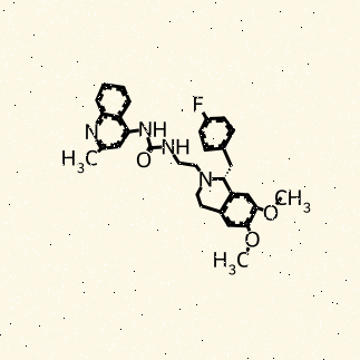 COc1cc2c(cc1OC)[C@@H](Cc1ccc(F)cc1)N(CCNC(=O)Nc1cc(C)nc3ccccc13)CC2